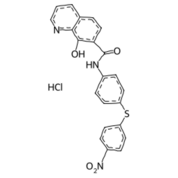 Cl.O=C(Nc1ccc(Sc2ccc([N+](=O)[O-])cc2)cc1)c1ccc2cccnc2c1O